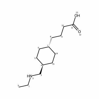 CCNC[C@H]1CC[C@H](CCCC(=O)O)CC1